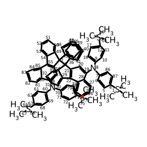 CS(C)(C)c1ccc(N(c2ccc(S(C)(C)C)cc2)c2cc3c(c4ccccc24)-c2ccccc2C3(c2ccccc2)C2(c3ccccc3)c3ccccc3-c3c2cc(N(c2ccc(S(C)(C)C)cc2)c2ccc(S(C)(C)C)cc2)c2ccccc32)cc1